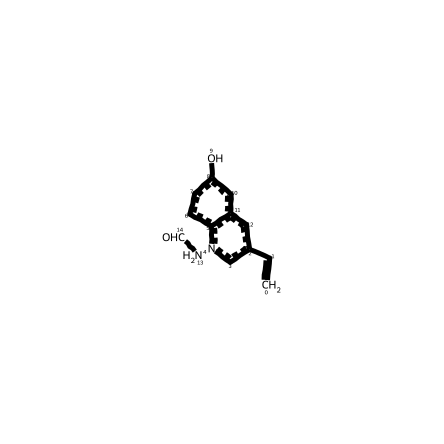 C=Cc1cnc2ccc(O)cc2c1.NC=O